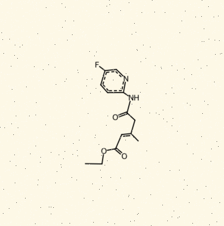 CCOC(=O)C=C(C)CC(=O)Nc1ccc(F)cn1